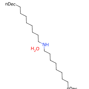 CCCCCCCCCCCCCCCCCCNCCCCCCCCCCCCCCCCCC.O